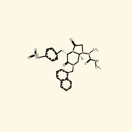 CNC(=O)N(C)N1CC(=O)N2[C@@H](Cc3ccc(N[SH](=O)=O)cc3)C(=O)N(Cc3cccc4ccccc34)C[C@@H]21